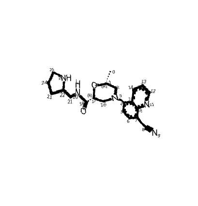 C[C@@H]1CN(c2ccc(C#N)c3ncccc23)C[C@H](C(=O)NCC2CCCN2)O1